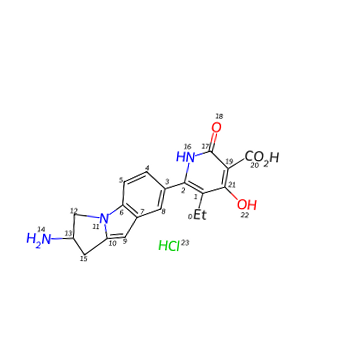 CCc1c(-c2ccc3c(c2)cc2n3CC(N)C2)[nH]c(=O)c(C(=O)O)c1O.Cl